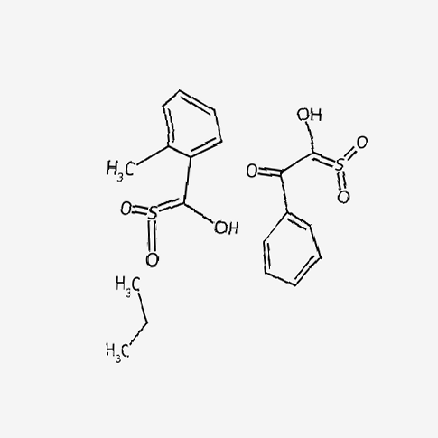 CCC.Cc1ccccc1C(O)=S(=O)=O.O=C(C(O)=S(=O)=O)c1ccccc1